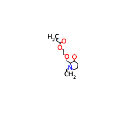 C=CC(=O)OCCOCC1C(=O)CCCN1C=C